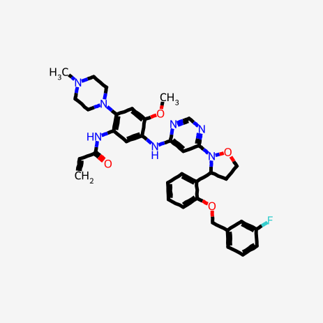 C=CC(=O)Nc1cc(Nc2cc(N3OCCC3c3ccccc3OCc3cccc(F)c3)ncn2)c(OC)cc1N1CCN(C)CC1